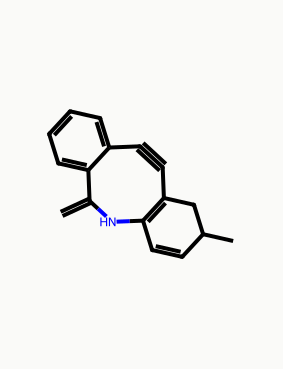 C=C1NC2=C(C#Cc3ccccc31)CC(C)C=C2